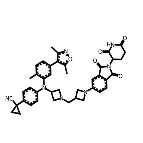 Cc1ccc(-c2c(C)noc2C)cc1N(c1ccc(C2(C#N)CC2)cc1)C1CN(CC2CN(c3ccc4c(c3)C(=O)N(C3CCC(=O)NC3=O)C4=O)C2)C1